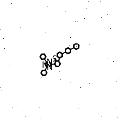 c1ccc(-c2ccc(-c3ccc4sc5c(-c6nc(-c7ccccc7)nc(-c7ccccc7)n6)cccc5c4c3)cc2)cc1